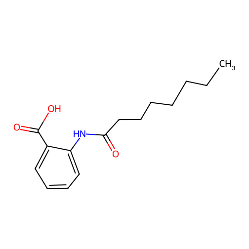 CCCCCCCC(=O)Nc1ccccc1C(=O)O